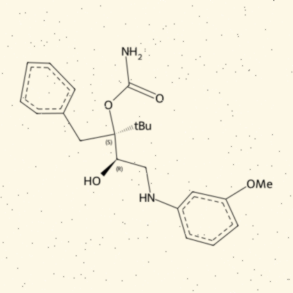 COc1cccc(NC[C@@H](O)[C@@](Cc2ccccc2)(OC(N)=O)C(C)(C)C)c1